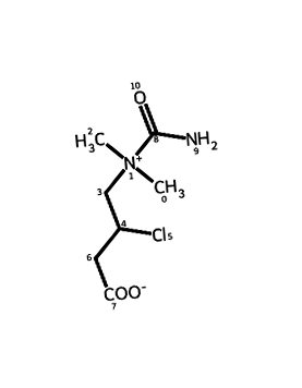 C[N+](C)(CC(Cl)CC(=O)[O-])C(N)=O